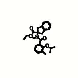 CCOC(=O)C1(N(C)C(=O)c2cccc(C)c2OC(C)C)Cc2ccccc2C1